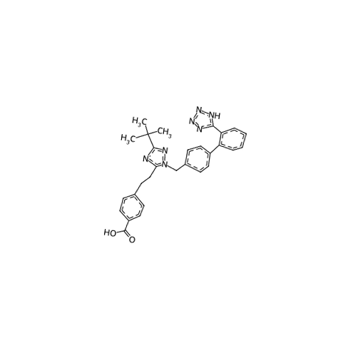 CC(C)(C)c1nc(CCc2ccc(C(=O)O)cc2)n(Cc2ccc(-c3ccccc3-c3nnn[nH]3)cc2)n1